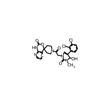 CN1C(=O)N(CC(=O)N2CCC3(CC2)OC(=O)Nc2ncccc23)C=C(c2cccc(Cl)c2Cl)C1O